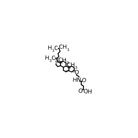 CC(C)CCC[C@@H](C)[C@H]1CCC2C3CC=C4C[C@@H](OCCNC(=O)CCC(=O)O)CC[C@]4(C)C3CC[C@@]21C